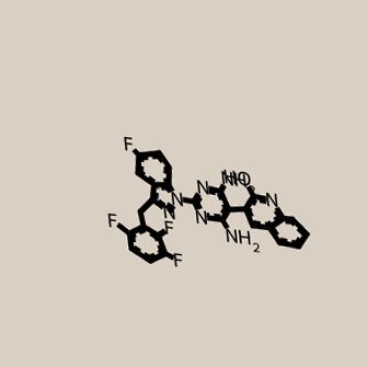 Nc1nc(-n2nc(Cc3c(F)ccc(F)c3F)c3cc(F)ccc32)nc(N)c1-c1cc2ccccc2nc1O